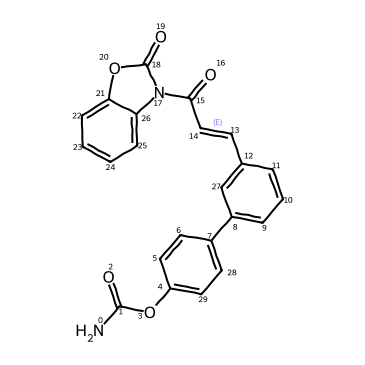 NC(=O)Oc1ccc(-c2cccc(/C=C/C(=O)n3c(=O)oc4ccccc43)c2)cc1